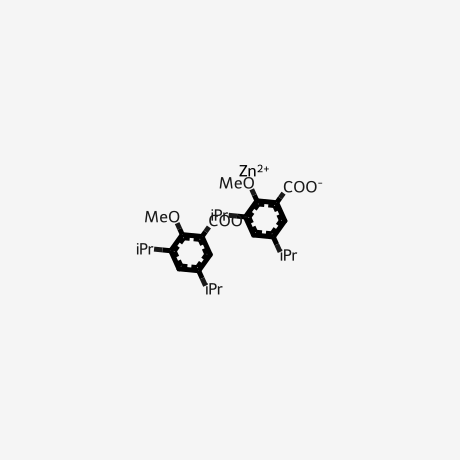 COc1c(C(=O)[O-])cc(C(C)C)cc1C(C)C.COc1c(C(=O)[O-])cc(C(C)C)cc1C(C)C.[Zn+2]